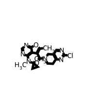 Cc1oc2ncnc(N(C)C3(C)CC3)c2c1C(=O)N1CCc2nc(Cl)ncc2C1